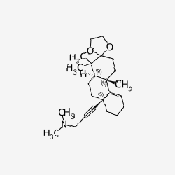 CN(C)CC#C[C@]12CCCC=C1[C@@]1(C)CCC3(OCCO3)C(C)(C)[C@@H]1CC2